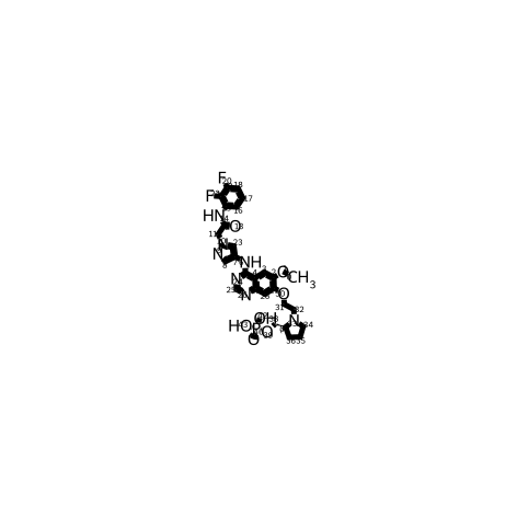 COc1cc2c(Nc3cnn(CC(=O)Nc4cccc(F)c4F)c3)ncnc2cc1OCCN1CCC[C@@H]1COP(=O)(O)O